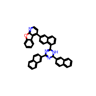 c1ccc2cc(C3=NC(c4ccc5ccccc5c4)NC(c4cccc5cc(-c6ccnc7oc8ccccc8c67)ccc45)=N3)ccc2c1